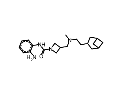 CN(CCC1CC2CC(C1)C2)CC1CN(C(=O)Nc2ccccc2N)C1